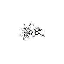 C=CCOc1ccc(/C=C\c2cc(OC)c(OC)c(OC)c2)c(O[Si](C)(C)C(C)(C)C)c1O[Si](C)(C)C(C)(C)C